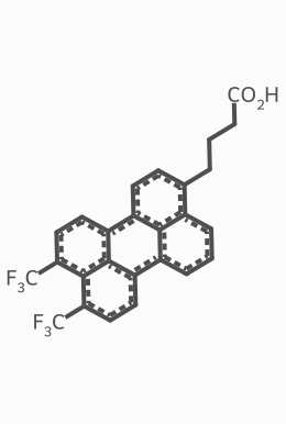 O=C(O)CCCc1ccc2c3ccc(C(F)(F)F)c4c(C(F)(F)F)ccc(c5cccc1c52)c43